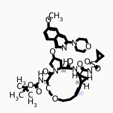 COc1ccc2c(OC3C[C@H]4C(=O)N[C@]5(C(=O)NS(=O)(=O)C6CC6)C[C@H]5/C=C\CCOCC[C@H](NC(=O)OC(C)(C)C)C(=O)N4C3)nc(N3CCOCC3)cc2c1